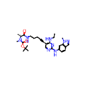 CCNc1nc(Nc2ccc3cnn(C)c3c2)ncc1C#CCCCNC(=O)[C@H](C)N(C)C(=O)OC(C)(C)C